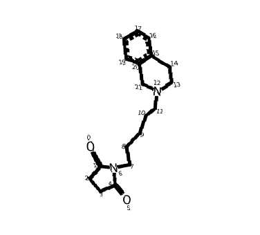 O=C1CCC(=O)N1CCCCCN1CCc2ccccc2C1